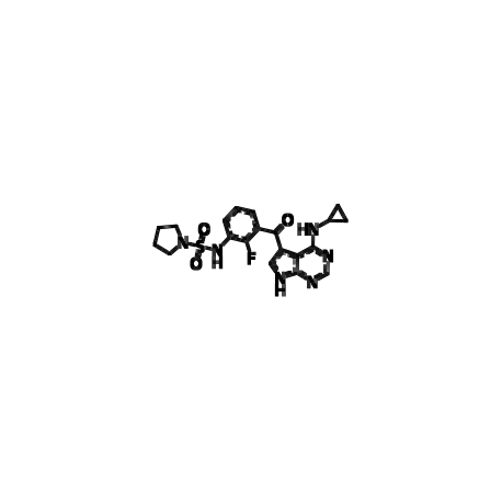 O=C(c1cccc(NS(=O)(=O)N2CCCC2)c1F)c1c[nH]c2ncnc(NC3CC3)c12